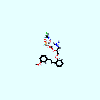 COc1cccc(CCc2ccccc2OCC(CN(C)C)OCOP(=O)(F)O/N=C(\F)Cl)c1